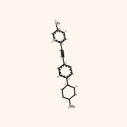 CCCCC1CCC(c2ccc(C#Cc3ccc(CCC)cn3)cc2)CC1